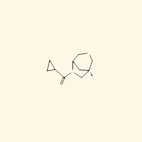 O=C(C1CC1)N1C[C@H]2CNCC1C2